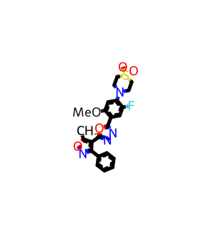 COc1cc(N2CCS(=O)(=O)CC2)c(F)cc1-c1nnc(-c2c(-c3ccccc3)noc2C)o1